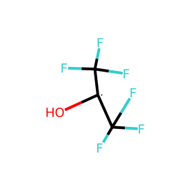 O[C](C(F)(F)F)C(F)(F)F